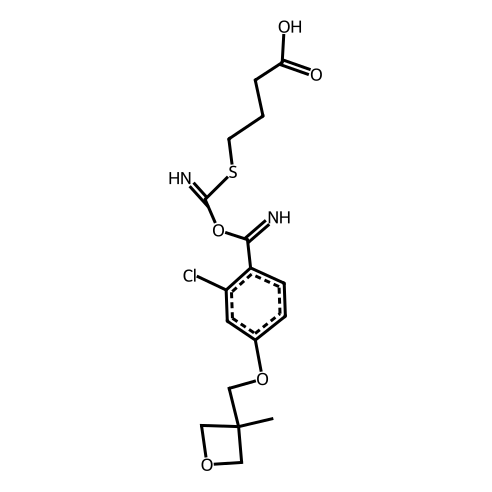 CC1(COc2ccc(C(=N)OC(=N)SCCCC(=O)O)c(Cl)c2)COC1